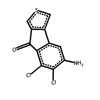 Nc1cc2c(c(Cl)c1Cl)C(=O)c1cscc1-2